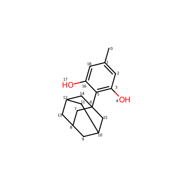 Cc1cc(O)c(C23CC4CC(CC(C4)C2)C3)c(O)c1